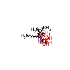 CCCCCCCCC(=O)N[C@@H](COC1OC(CO)C(O)C(O)C1O)[C@H](OC(CCC)CCCCC)[C@H](O)CC